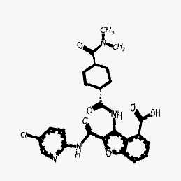 CN(C)C(=O)[C@H]1CC[C@H](C(=O)Nc2c(C(=O)Nc3ccc(Cl)cn3)oc3cccc(C(=O)O)c23)CC1